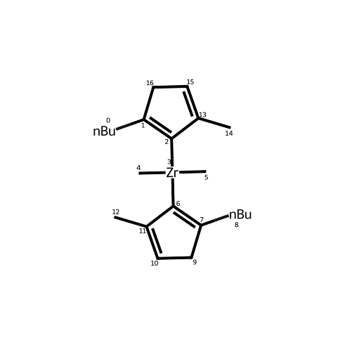 CCCCC1=[C]([Zr]([CH3])([CH3])[C]2=C(CCCC)CC=C2C)C(C)=CC1